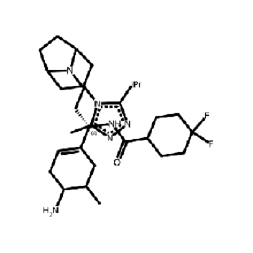 Cc1nnc(C(C)C)n1C1CC2CCC(C1)N2CC[C@H](NC(=O)C1CCC(F)(F)CC1)C1=CCC(N)C(C)C1